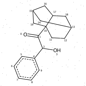 O=C(C(O)c1ccccc1)C12CCC3CC(CC1C3)C2